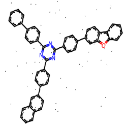 c1ccc(-c2ccc(-c3nc(-c4ccc(-c5ccc6ccccc6c5)cc4)nc(-c4ccc(-c5ccc6c(c5)oc5ccccc56)cc4)n3)cc2)cc1